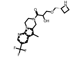 Cc1c2n(c3ncc(C(F)(F)F)cc13)CCN(C(=O)C(O)COC[C@H]1CCN1)C2